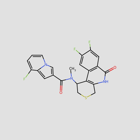 CN(C(=O)c1cc2c(F)cccn2c1)C1CSCc2[nH]c(=O)c3cc(F)c(F)cc3c21